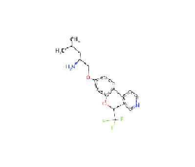 CC(C)C[C@H](N)COc1ccc2c(c1)OC(C(F)(F)F)c1cnccc1-2